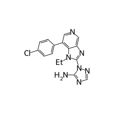 CCn1c(-n2ncnc2N)nc2cncc(-c3ccc(Cl)cc3)c21